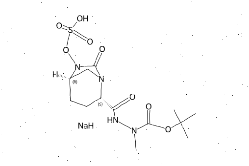 CN(NC(=O)[C@@H]1CC[C@@H]2CN1C(=O)N2OS(=O)(=O)O)C(=O)OC(C)(C)C.[NaH]